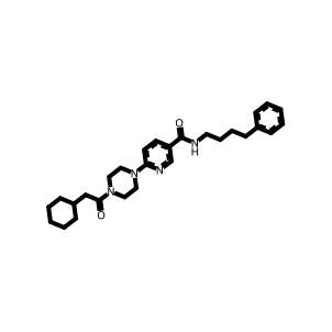 O=C(NCCCCc1ccccc1)c1ccc(N2CCN(C(=O)CC3CCCCC3)CC2)nc1